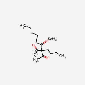 CCCCCC(=O)C(CCCC)(C(C)=O)C(C)=O.[SnH2]